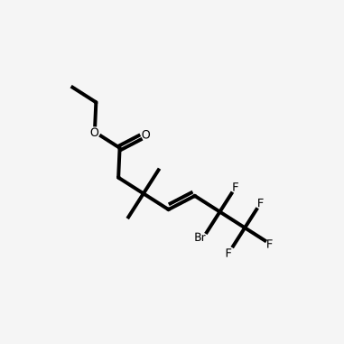 CCOC(=O)CC(C)(C)C=CC(F)(Br)C(F)(F)F